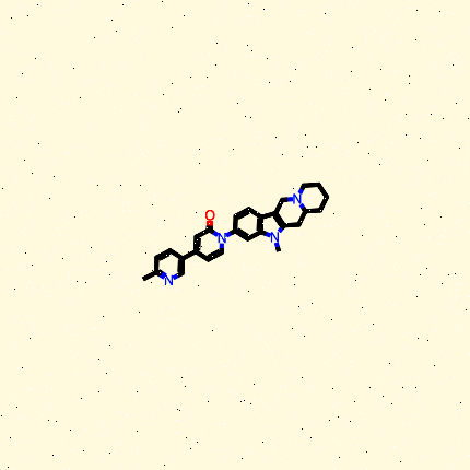 Cc1ccc(-c2ccn(-c3ccc4c5c(n(C)c4c3)CC3CCCCN3C5)c(=O)c2)cn1